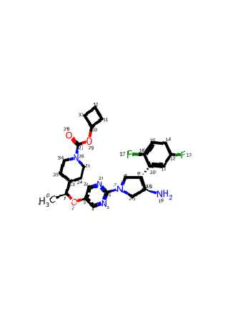 C[C@H](Oc1cnc(N2C[C@H](C3=CC(F)CC=C3F)[C@@H](N)C2)nc1)C1CCN(C(=O)OC2CCC2)CC1